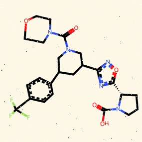 O=C(N1CCOCC1)N1CC(c2ccc(C(F)(F)F)cc2)CC(c2noc([C@@H]3CCCN3C(=O)O)n2)C1